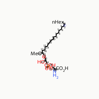 CCCCCC/C=C\CCCCCCCCCCCCCCCC(COC[C@@H](O)COP(=O)(O)OC[C@H](N)C(=O)O)OC